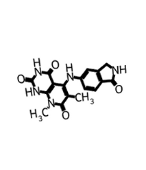 Cc1c(Nc2ccc3c(c2)CNC3=O)c2c(=O)[nH]c(=O)[nH]c2n(C)c1=O